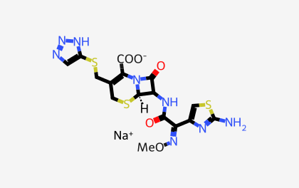 CO/N=C(\C(=O)NC1C(=O)N2C(C(=O)[O-])=C(CSc3cnn[nH]3)CS[C@H]12)c1csc(N)n1.[Na+]